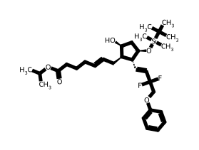 CC(C)OC(=O)CCCC=CC[C@@H]1[C@@H](C=CC(F)(F)COc2ccccc2)[C@H](O[Si](C)(C)C(C)(C)C)C[C@@H]1O